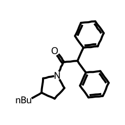 CCCCC1CCN(C(=O)C(c2ccccc2)c2ccccc2)C1